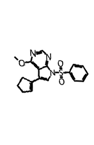 COc1ncnc2c1c(C1=CCCC1)cn2S(=O)(=O)c1ccccc1